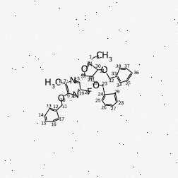 CC[C@H]1O[C@@H](c2nc(C)c(OCc3ccccc3)nc2F)[C@@H](OCc2ccccc2)C1OCc1ccccc1